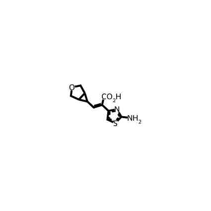 Nc1nc(/C(=C/C2C3COCC23)C(=O)O)cs1